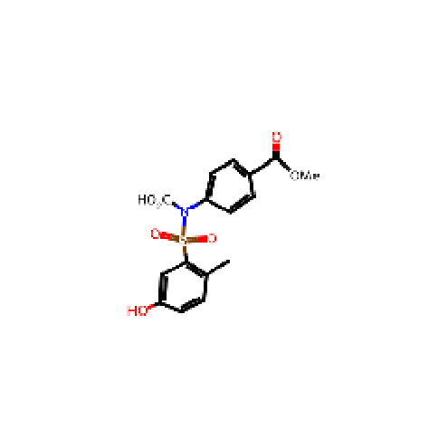 COC(=O)c1ccc(N(C(=O)O)S(=O)(=O)c2cc(O)ccc2C)cc1